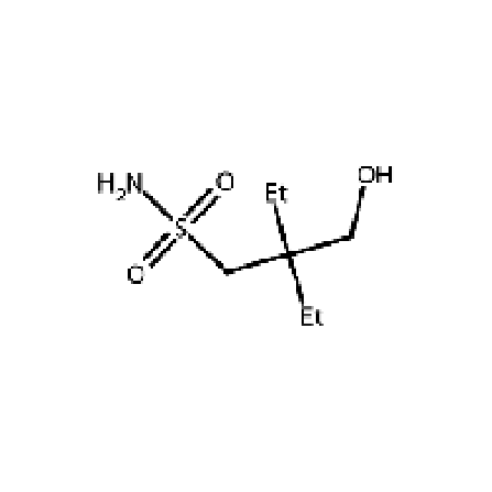 CCC(CC)(CO)CS(N)(=O)=O